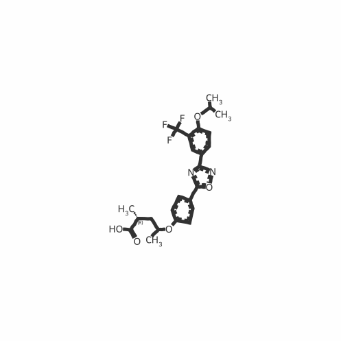 CC(C)Oc1ccc(-c2noc(-c3ccc(OC(C)C[C@@H](C)C(=O)O)cc3)n2)cc1C(F)(F)F